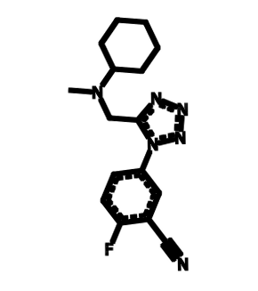 CN(Cc1nnnn1-c1ccc(F)c(C#N)c1)C1CCCCC1